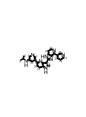 CC(C)Nc1cncc(-c2ccc3[nH]nc(-c4nc5c(-c6cccnc6)nccc5[nH]4)c3n2)c1